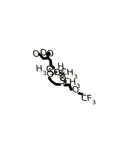 C[SiH]1O[Si](C)(CCCOCCC(F)(F)F)CCCCO[Si](C)(CCCC2CC(=O)OC2=O)O1